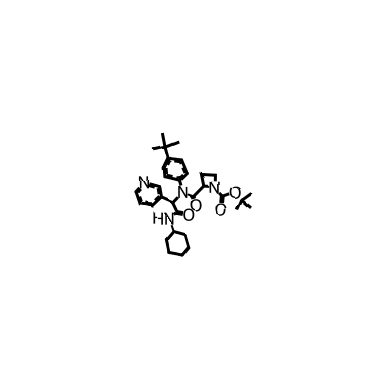 CC(C)(C)OC(=O)N1CCC1C(=O)N(c1ccc(C(C)(C)C)cc1)C(C(=O)NC1CCCCC1)c1cccnc1